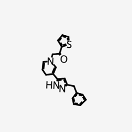 O=C(CN1C=CCC(c2cc(Cc3ccccc3)n[nH]2)=C1)c1cccs1